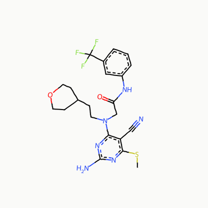 CSc1nc(N)nc(N(CCC2CCOCC2)CC(=O)Nc2cccc(C(F)(F)F)c2)c1C#N